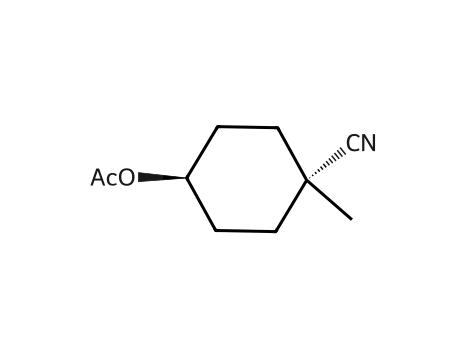 CC(=O)O[C@H]1CC[C@](C)(C#N)CC1